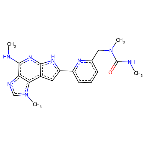 CNC(=O)N(C)Cc1cccc(-c2cc3c(nc(NC)c4ncn(C)c43)[nH]2)n1